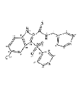 O=C(NCc1cccnc1)c1[nH]c2ccc(Cl)cc2c1S(=O)(=O)c1ccccc1